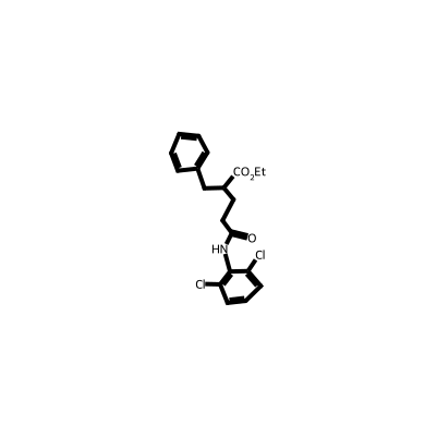 CCOC(=O)C(CCC(=O)Nc1c(Cl)cccc1Cl)Cc1ccccc1